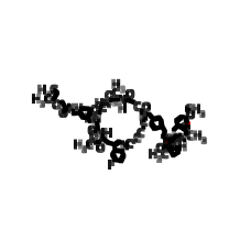 CC[C@@H](C)OCC(=O)NCc1cccc(C[C@@H]2NC(=O)CNC(=O)[C@H](C)NC(=O)CCC(=O)N(Cc3ccc(CCNC(=O)[C@]4(C)CCCN4C(=O)[C@H](Cc4ccc(OC)cc4)NC(C)=O)cc3)CCCCCCn3cc(c4cc(F)ccc43)C[C@@H](C(=O)NC)NC2=O)c1